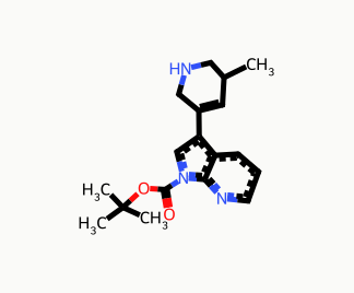 CC1C=C(c2cn(C(=O)OC(C)(C)C)c3ncccc23)CNC1